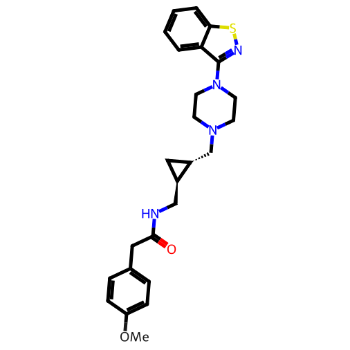 COc1ccc(CC(=O)NC[C@H]2C[C@@H]2CN2CCN(c3nsc4ccccc34)CC2)cc1